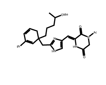 COC(C)CCCC1(Cc2nc(/C=C3\NC(=O)CN(C(C)=O)C3=O)c[nH]2)C=C(C(C)C)C=CC1